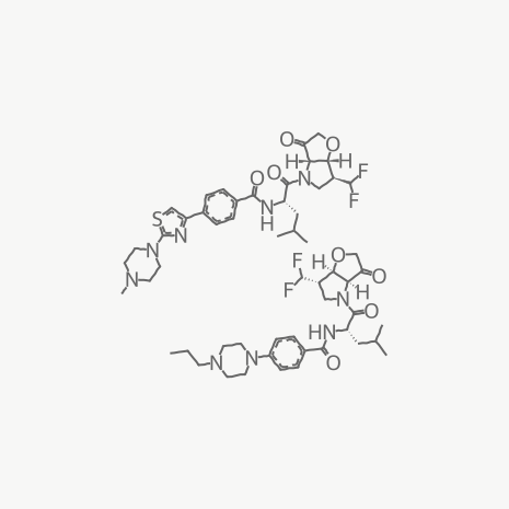 CC(C)C[C@H](NC(=O)c1ccc(-c2csc(N3CCN(C)CC3)n2)cc1)C(=O)N1C[C@H](C(F)F)[C@H]2OCC(=O)[C@H]21.CCCN1CCN(c2ccc(C(=O)N[C@@H](CC(C)C)C(=O)N3C[C@H](C(F)F)[C@H]4OCC(=O)[C@H]43)cc2)CC1